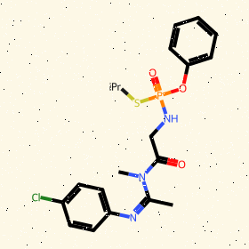 CC(=Nc1ccc(Cl)cc1)N(C)C(=O)CNP(=O)(Oc1ccccc1)SC(C)C